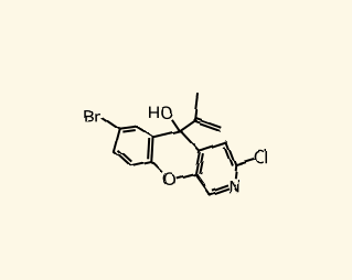 C=C(C)C1(O)c2cc(Br)ccc2Oc2cnc(Cl)cc21